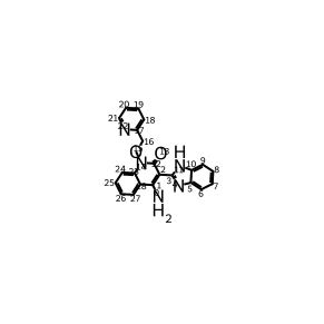 Nc1c(-c2nc3ccccc3[nH]2)c(=O)n(OCc2ccccn2)c2ccccc12